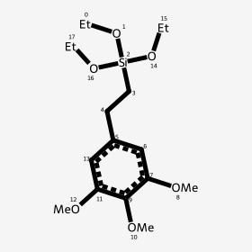 CCO[Si](CCc1cc(OC)c(OC)c(OC)c1)(OCC)OCC